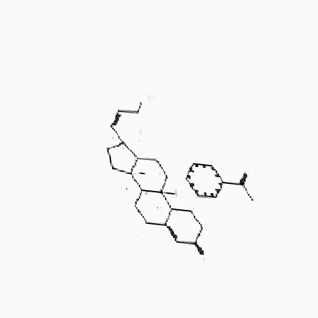 CC(=O)c1ccc([C@H]2C[C@@]3(C)[C@@H](CC[C@@]3(O)/C=C\CO)[C@@H]3C[C@@H](C)C4=CC(=O)CC[C@@H]4[C@H]32)cc1